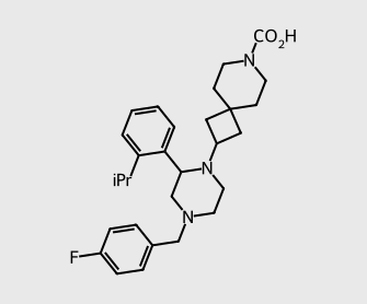 CC(C)c1ccccc1C1CN(Cc2ccc(F)cc2)CCN1C1CC2(CCN(C(=O)O)CC2)C1